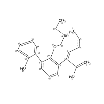 C=C(O)/C(=C\C=C/C)c1cccc(-c2ccccc2O)c1OCBCC